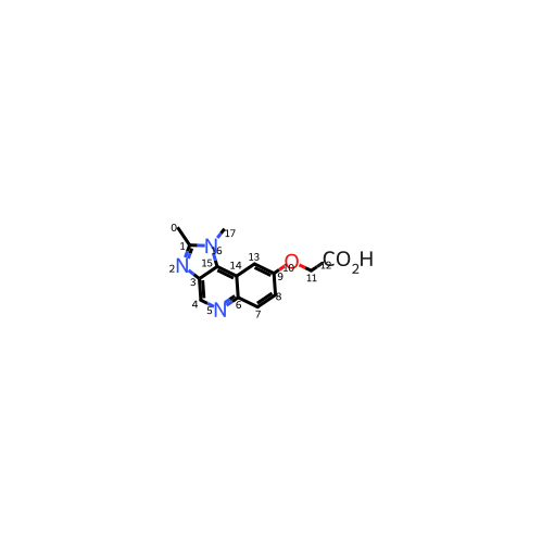 Cc1nc2cnc3ccc(OCC(=O)O)cc3c2n1C